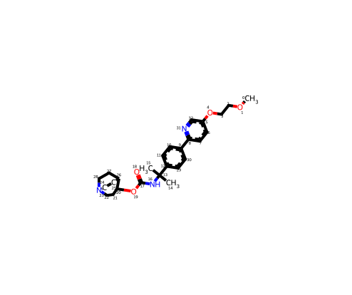 COCCOc1ccc(-c2ccc(C(C)(C)NC(=O)OC3CCN4CCC3CC4)cc2)nc1